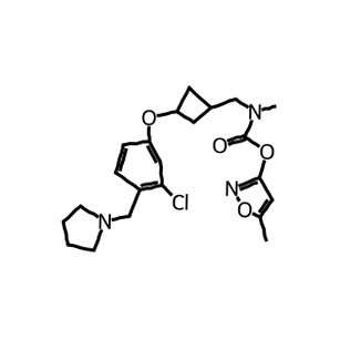 Cc1cc(OC(=O)N(C)CC2CC(Oc3ccc(CN4CCCC4)c(Cl)c3)C2)no1